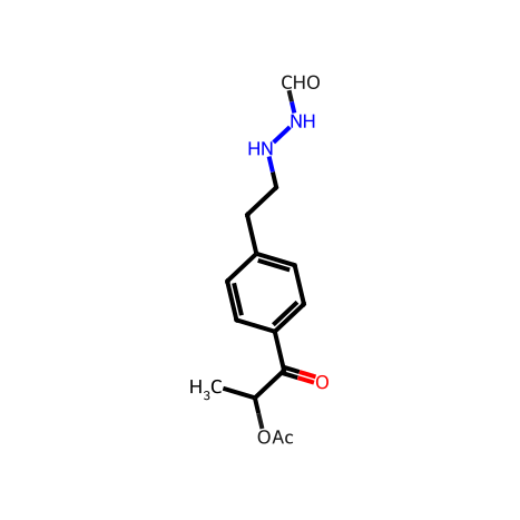 CC(=O)OC(C)C(=O)c1ccc(CCNNC=O)cc1